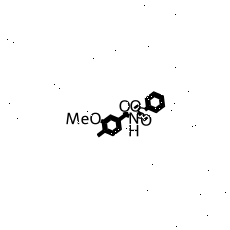 COc1cc(C(=O)NS(=O)(=O)c2ccccc2)ccc1C